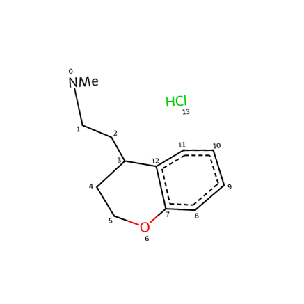 CNCCC1CCOc2ccccc21.Cl